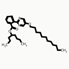 CCCCCCCCCCCCOc1cnc(-c2ccccc2C(=O)OC(CCC)CCCC)nc1